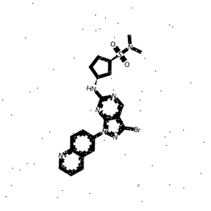 CN(C)S(=O)(=O)[C@@H]1CC[C@@H](Nc2ncc3c(Br)nn(-c4ccc5ncccc5c4)c3n2)C1